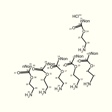 CCCCCCCCCC(=O)OCCN.CCCCCCCCCC(=O)OCCN.CCCCCCCCCC(=O)OCCN.CCCCCCCCCC(=O)OCCN.CCCCCCCCCC(=O)OCCN.CCCCCCCCCC(=O)OCCN.Cl